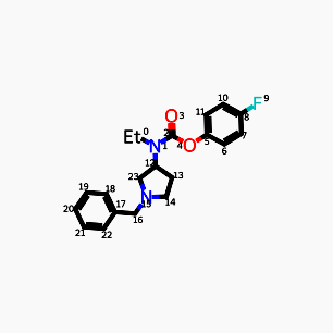 CCN(C(=O)Oc1ccc(F)cc1)C1CCN(Cc2ccccc2)C1